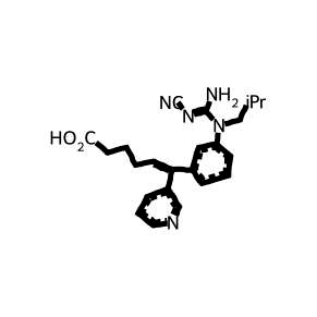 CC(C)CN(C(N)=NC#N)c1cccc(C(=CCCCC(=O)O)c2cccnc2)c1